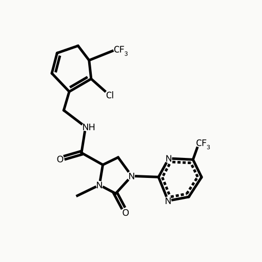 CN1C(=O)N(c2nccc(C(F)(F)F)n2)CC1C(=O)NCC1=C(Cl)C(C(F)(F)F)CC=C1